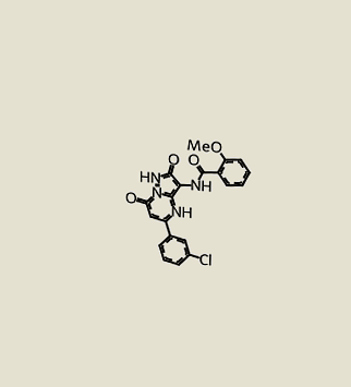 COc1ccccc1C(=O)Nc1c(=O)[nH]n2c(=O)cc(-c3cccc(Cl)c3)[nH]c12